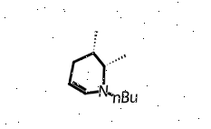 CCCCN1C=CC[C@H](C)[C@@H]1C